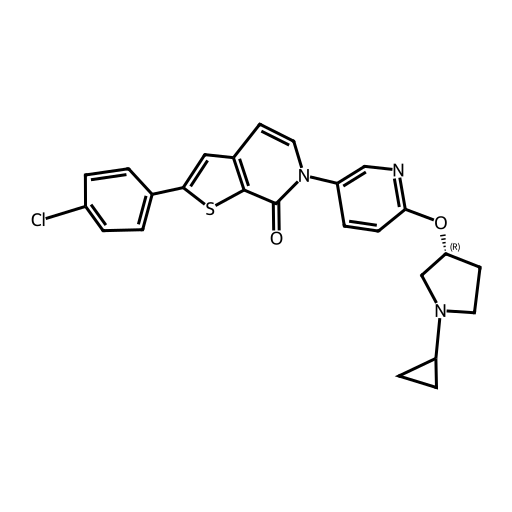 O=c1c2sc(-c3ccc(Cl)cc3)cc2ccn1-c1ccc(O[C@@H]2CCN(C3CC3)C2)nc1